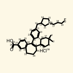 CC1(C)CC=C(C2=C(c3ccc(CC4CCN(CCCF)C4)cc3)c3ccc(C(=O)O)cc3CCC2)CC1.Cl